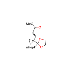 CCCCCCCC1(C2(C=CC(=O)OC)CC2)OCCO1